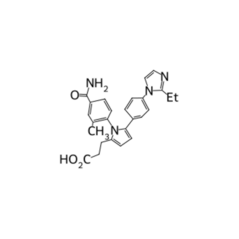 CCc1nccn1-c1ccc(-c2ccc(CCC(=O)O)n2-c2ccc(C(N)=O)cc2C)cc1